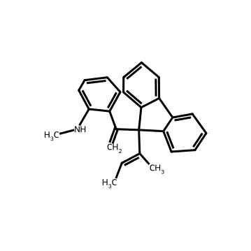 C=C(c1ccccc1NC)C1(/C(C)=C/C)c2ccccc2-c2ccccc21